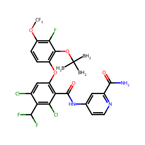 BC(B)(B)Oc1c(Oc2cc(Cl)c(C(F)F)c(Cl)c2C(=O)Nc2ccnc(C(N)=O)c2)ccc(OC(F)(F)F)c1F